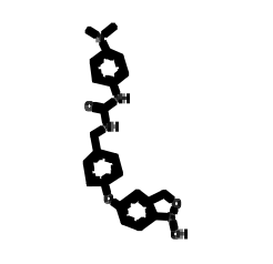 CN(C)c1ccc(NC(=O)NCc2ccc(Oc3ccc4c(c3)COB4O)cc2)cc1